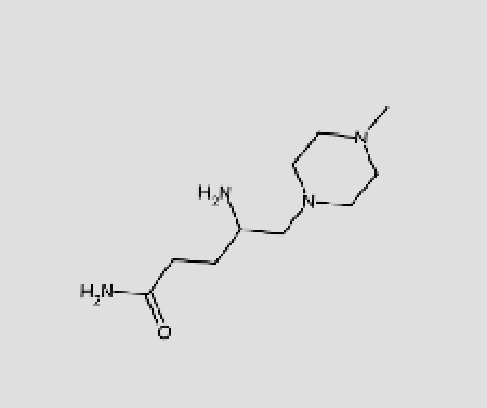 CN1CCN(CC(N)CCC(N)=O)CC1